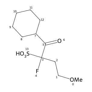 COCCC(F)(C(=O)C1CCCCC1)S(=O)(=O)O